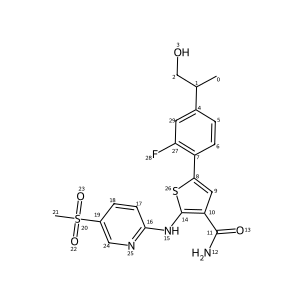 CC(CO)c1ccc(-c2cc(C(N)=O)c(Nc3ccc(S(C)(=O)=O)cn3)s2)c(F)c1